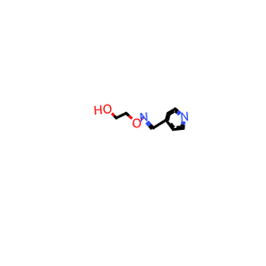 OCCON=Cc1ccncc1